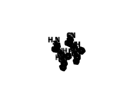 N#Cc1ccc2c(c1)OCCC2NC(=O)CC(NS(=O)(=O)c1ccc2ccccc2c1)c1ccccc1.NCc1ccc2c(c1)OCCC2NC(=O)CC(NS(=O)(=O)c1ccc2ccccc2c1)c1ccccc1